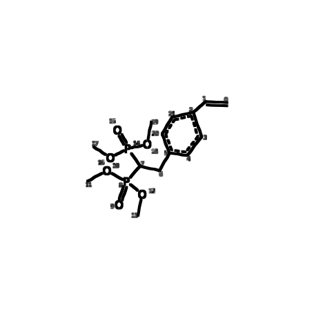 C=Cc1ccc(CC(P(=O)(OC)OC)P(=O)(OC)OC)cc1